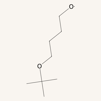 CC(C)(C)OCCCC[O]